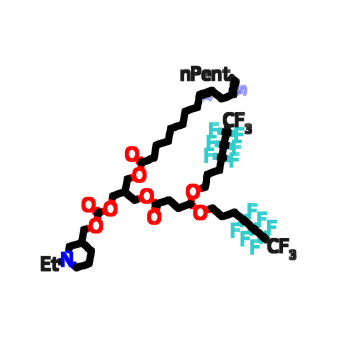 CCCCC/C=C\C/C=C\CCCCCCCC(=O)OCC(COC(=O)CCC(OCCCC(F)(F)C(F)(F)C(F)(F)C(F)(F)F)OCCCC(F)(F)C(F)(F)C(F)(F)C(F)(F)F)COC(=O)OCC1CCCN(CC)C1